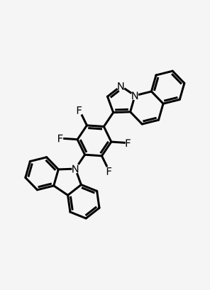 Fc1c(F)c(-n2c3ccccc3c3ccccc32)c(F)c(F)c1-c1cnn2c1ccc1ccccc12